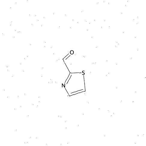 O=Cc1n[c]cs1